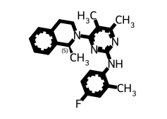 Cc1cc(F)ccc1Nc1nc(C)c(C)c(N2CCc3ccccc3[C@@H]2C)n1